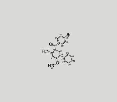 COc1cc(N)c(C(=O)c2ccc(Br)cc2)cc1-c1ccccc1